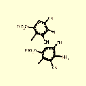 CCOC(=O)c1cc(C#N)c(I)c(C#N)c1C.CCOC(=O)c1cc(C#N)c(N)c(C#N)c1C